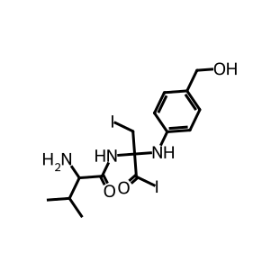 CC(C)C(N)C(=O)NC(CI)(Nc1ccc(CO)cc1)C(=O)I